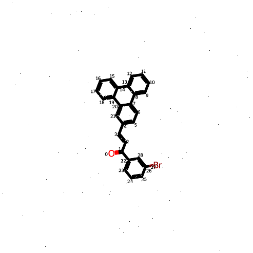 O=C(/C=C/c1ccc2c3ccccc3c3ccccc3c2c1)c1cccc(Br)c1